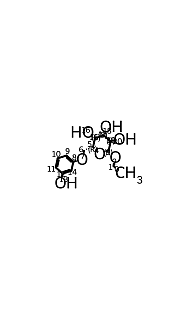 CCO[C@@H]1O[C@H](COc2cccc(O)c2)[C@@H](O)[C@H](O)[C@H]1O